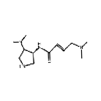 CN(C)C/C=C/C(=O)N[C@H]1CNCC1N(C)C